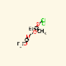 CCc1cc(OCC=C(Cl)Cl)cc(C)c1OCCCCOc1ccc(OC(F)(F)F)cc1